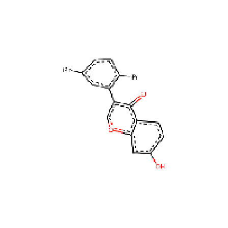 CC(C)c1ccc(C(C)C)c(-c2coc3cc(O)ccc3c2=O)c1